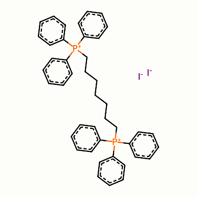 [I-].[I-].c1ccc([P+](CCCCCCC[P+](c2ccccc2)(c2ccccc2)c2ccccc2)(c2ccccc2)c2ccccc2)cc1